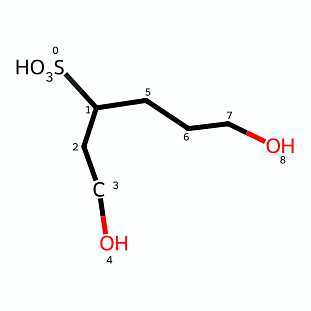 O=S(=O)(O)C(CCO)CCCO